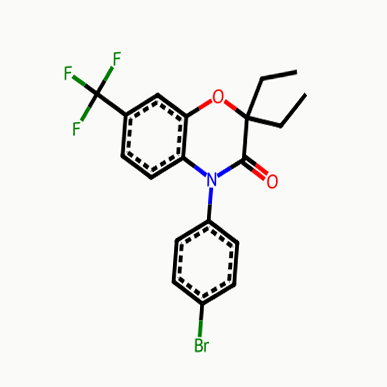 CCC1(CC)Oc2cc(C(F)(F)F)ccc2N(c2ccc(Br)cc2)C1=O